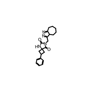 O=C1NC2(CC(c3ccccc3)C2)C(=O)N1CC1=NN=C2CCCCCC21